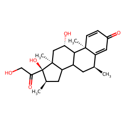 C[C@@H]1CC2C3C[C@H](C)C4=CC(=O)C=C[C@]4(C)C3[C@@H](O)C[C@]2(C)[C@@]1(O)C(=O)CO